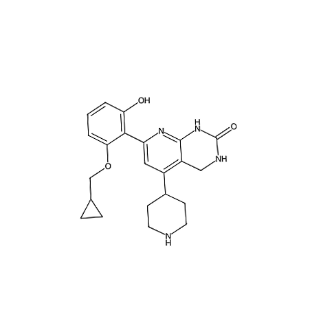 O=C1NCc2c(C3CCNCC3)cc(-c3c(O)cccc3OCC3CC3)nc2N1